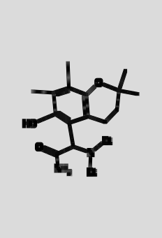 CCN(CC)C(C(N)=O)c1c(O)c(C)c(C)c2c1CCC(C)(C)O2